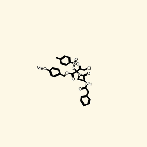 C=C(CCl)C(SS(=O)(=O)c1ccc(C)cc1)(C(=O)OCc1ccc(OC)cc1)N1CC(NC(=O)Cc2ccccc2)C1=O